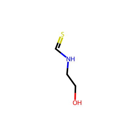 OCCNC=S